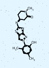 Cc1cc(C)c(-n2cc3sc(/N=C4/CCN(C)C(=O)C4)nc3n2)c(O)c1